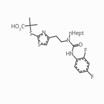 CCCCCCCN(CCc1csc(SC(C)(C)C(=O)O)n1)C(=O)Nc1ccc(F)cc1F